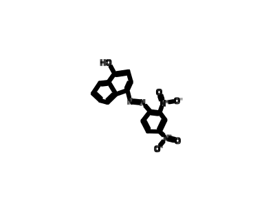 O=[N+]([O-])c1ccc(N=Nc2ccc(O)c3ccccc23)c([N+](=O)[O-])c1